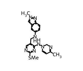 CSc1ncc(CNc2ccc3nn(C)cc3c2)c(NN2C=CC(C)=NC2)n1